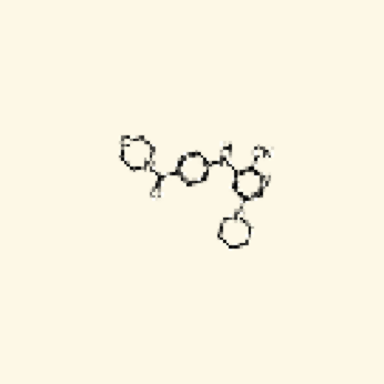 N#Cc1ncc(N2CCCCC2)cc1Nc1ccc(C(=O)N2CCOCC2)cc1